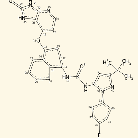 CC(C)(C)c1cc(NC(=O)Nc2ccc(Oc3ccnc4[nH]c(=O)[nH]c34)c3ccccc23)n(-c2ccc(F)cc2)n1